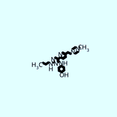 CCCCNc1ncc(-c2ccc(CCN3CCN(C)CC3)cn2)c(N[C@H]2CC[C@H](O)CC2)n1